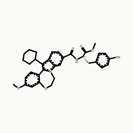 COC(=O)[C@H](Cc1ccc(O)cc1)NC(=O)c1ccc2c(C3CCCCC3)c3n(c2c1)CCOc1cc(OC)ccc1-3